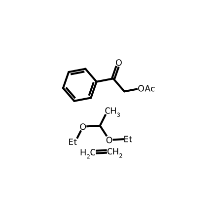 C=C.CC(=O)OCC(=O)c1ccccc1.CCOC(C)OCC